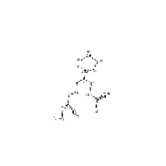 CCOC(=O)CCC[C@H](CCC(C)=S)N1CCOCC1